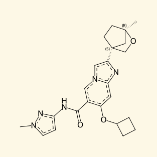 Cn1ccc(NC(=O)c2cn3cc([C@]45CC[C@](C)(C4)OC5)nc3cc2OC2CCC2)n1